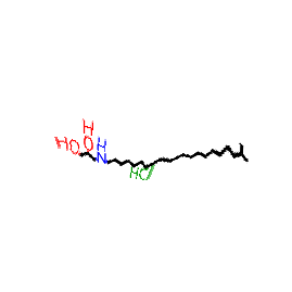 CC(C)CCCCCCCCCCCCCCCCCNCC(O)CO.Cl